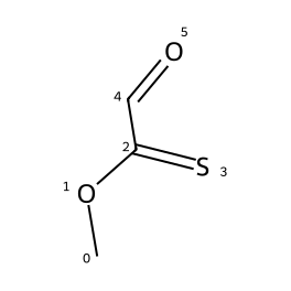 COC(=S)C=O